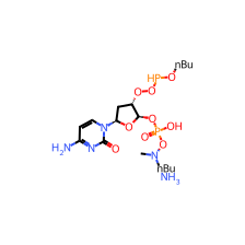 CCCCOPOO[C@H]1C[C@H](n2ccc(N)nc2=O)O[C@@H]1OP(=O)(O)ON(C)CCCC.N